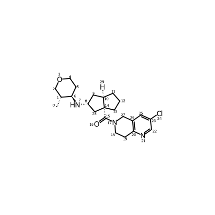 C[C@@H]1COCC[C@H]1N[C@@H]1C[C@H]2CCC[C@@]2(C(=O)N2CCc3ncc(Cl)cc3C2)C1